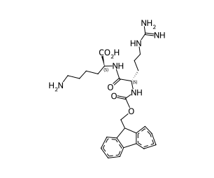 N=C(N)NCCC[C@H](NC(=O)OCC1c2ccccc2-c2ccccc21)C(=O)N[C@@H](CCCCN)C(=O)O